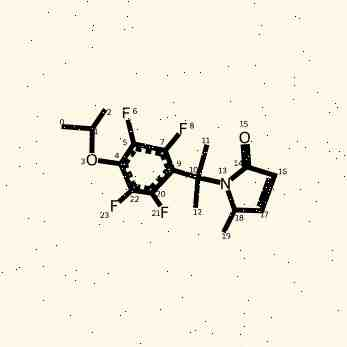 CC(C)Oc1c(F)c(F)c(C(C)(C)N2C(=O)C=CC2C)c(F)c1F